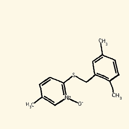 Cc1ccc(C)c(CSc2ccc(C)c[n+]2[O-])c1